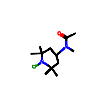 CC(=O)N(C)C1CC(C)(C)N(Cl)C(C)(C)C1